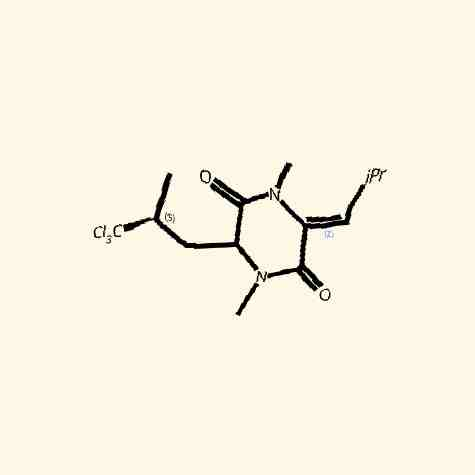 CC(C)/C=C1/C(=O)N(C)C(C[C@H](C)C(Cl)(Cl)Cl)C(=O)N1C